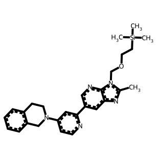 Cc1nc2cc(-c3cc(N4CCc5ccccc5C4)ccn3)cnc2n1COCC[Si](C)(C)C